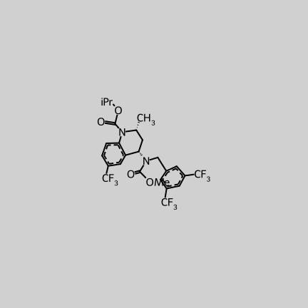 COC(=O)N(Cc1cc(C(F)(F)F)cc(C(F)(F)F)c1)[C@H]1C[C@@H](C)N(C(=O)OC(C)C)c2ccc(C(F)(F)F)cc21